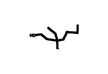 [CH2]C(CC)(CCO)CCCC